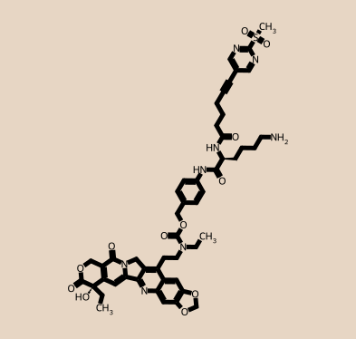 CCN(CCc1c2c(nc3cc4c(cc13)OCO4)-c1cc3c(c(=O)n1C2)COC(=O)[C@]3(O)CC)C(=O)OCc1ccc(NC(=O)[C@H](CCCCN)NC(=O)CCCC#Cc2cnc(S(C)(=O)=O)nc2)cc1